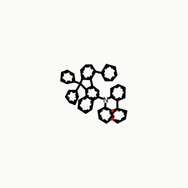 c1ccc(-c2ccccc2N(c2ccccc2)c2cc3c(c4ccccc24)C(c2ccccc2)(c2ccccc2)c2cccc(-c4ccccc4)c2-3)cc1